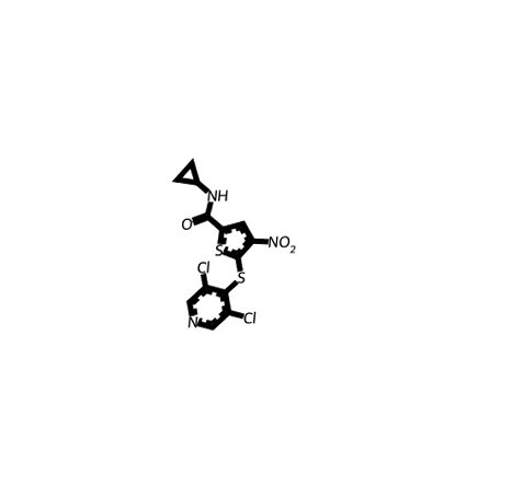 O=C(NC1CC1)c1cc([N+](=O)[O-])c(Sc2c(Cl)cncc2Cl)s1